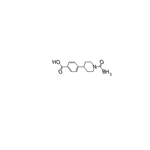 BC(=O)N1CCC(c2ccc(C(=O)O)cc2)CC1